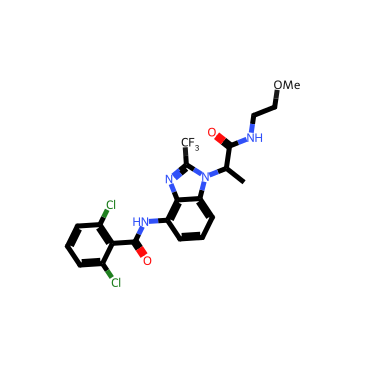 COCCNC(=O)C(C)n1c(C(F)(F)F)nc2c(NC(=O)c3c(Cl)cccc3Cl)cccc21